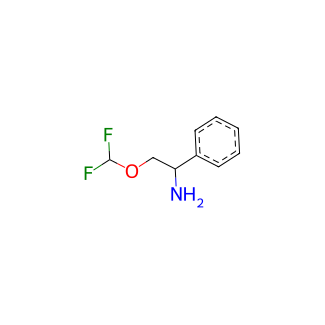 NC(COC(F)F)c1ccccc1